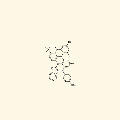 Cc1cc2c3c(c1)N(c1ccc(C(C)(C)C)cc1)c1c(oc4ccccc14)B3c1ccc3c4c1N2c1c(C)cc(C(C)(C)C)cc1C4(C)CCC3(C)C